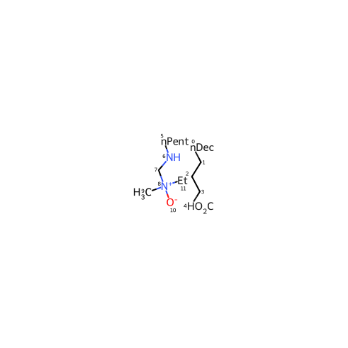 CCCCCCCCCCCCCC(=O)O.CCCCCNC[N+](C)([O-])CC